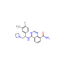 NC(=O)c1cccc2c(NC(CN3CCC3)c3ccc(F)c(C(F)(F)F)c3)ncnc12